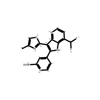 CC(=O)Nc1cc(-c2[nH]c3c(C(F)F)ccnc3c2-c2nc(C)cs2)ccn1